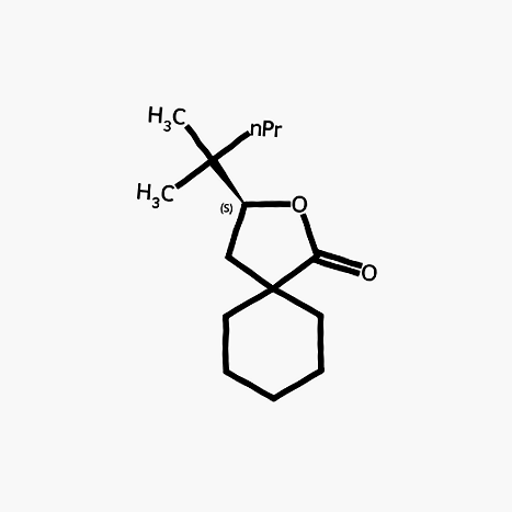 CCCC(C)(C)[C@@H]1CC2(CCCCC2)C(=O)O1